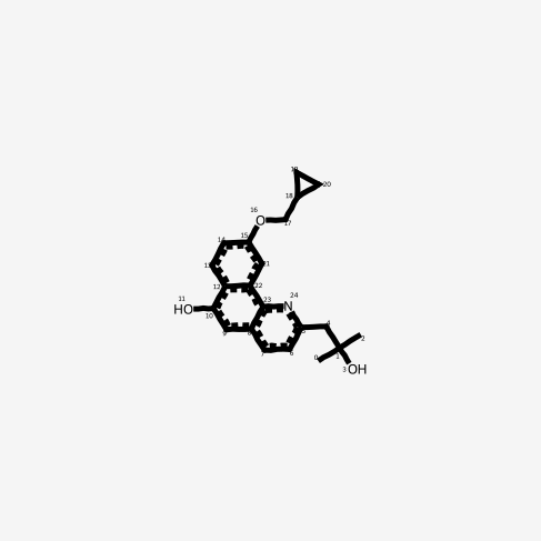 CC(C)(O)Cc1ccc2cc(O)c3ccc(OCC4CC4)cc3c2n1